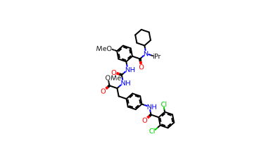 COC(=O)C(Cc1ccc(NC(=O)c2c(Cl)cccc2Cl)cc1)NC(=O)Nc1cc(OC)ccc1C(=O)N(C(C)C)C1CCCCC1